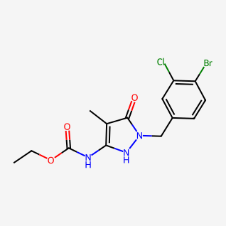 CCOC(=O)Nc1[nH]n(Cc2ccc(Br)c(Cl)c2)c(=O)c1C